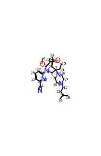 CCC(OC)N(CC1(N2CCN(CCC(C)C)CC2)CCOC(C)(C)C1)c1cccc(C#N)n1